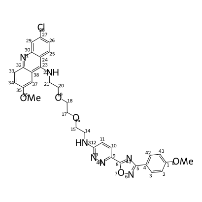 COc1ccc(-c2noc(-c3ccc(NCCOCCOCCNc4c5ccc(Cl)cc5nc5ccc(OC)cc45)nn3)n2)cc1